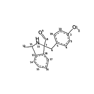 COc1ccc(CC2(C=O)NC(C)c3ccccc32)cc1